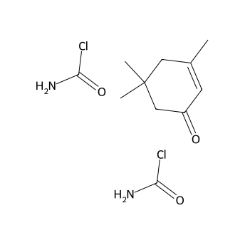 CC1=CC(=O)CC(C)(C)C1.NC(=O)Cl.NC(=O)Cl